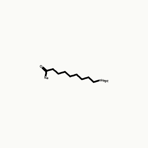 CCCCCCCCCCCCCCC[C](=O)[Na]